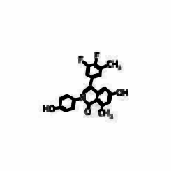 Cc1cc(-c2cn(-c3ccc(O)cc3)c(=O)c3c(C)cc(O)cc23)cc(F)c1F